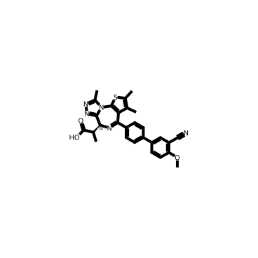 COc1ccc(-c2ccc(C3=N[C@@H](C(C)C(=O)O)c4nnc(C)n4-c4sc(C)c(C)c43)cc2)cc1C#N